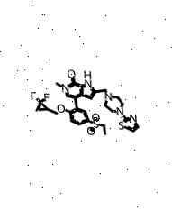 CCS(=O)(=O)c1ccc(OCC2CC2(F)F)c(-c2cn(C)c(=O)c3[nH]c(CN4CCN(c5nccs5)CC4)cc23)c1